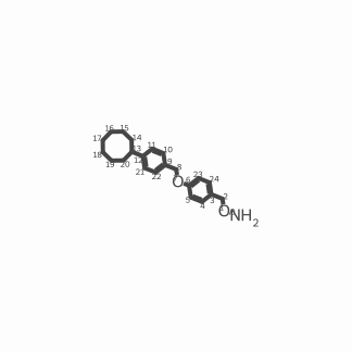 NOCc1ccc(OCc2ccc(C3CCCCCCC3)cc2)cc1